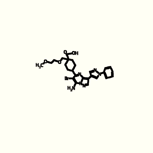 COCCOCC1(C(=O)O)CCC(c2nc3c(-c4cnn(-c5ccccc5)c4)cnn3c(N)c2Br)CC1